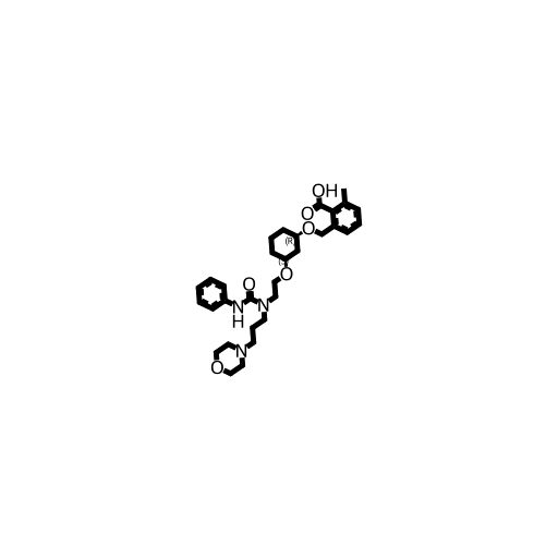 Cc1cccc(CO[C@@H]2CCC[C@H](OCCN(CCCN3CCOCC3)C(=O)Nc3ccccc3)C2)c1C(=O)O